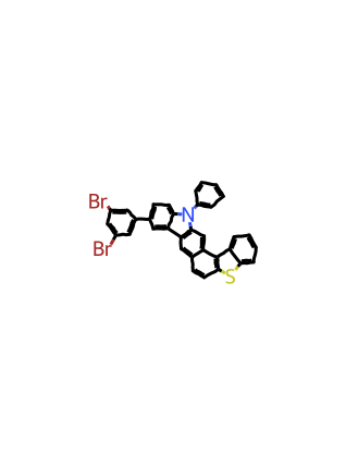 Brc1cc(Br)cc(-c2ccc3c(c2)c2cc4ccc5sc6ccccc6c5c4cc2n3-c2ccccc2)c1